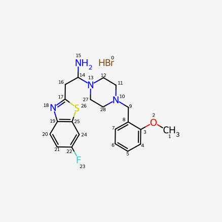 Br.COc1ccccc1CN1CCN(C(N)Cc2nc3ccc(F)cc3s2)CC1